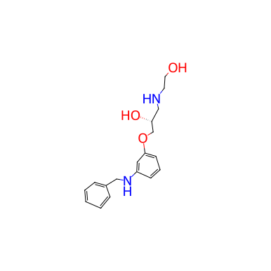 OCCNC[C@@H](O)COc1cccc(NCc2ccccc2)c1